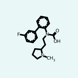 CN1CCCC1CCN(C(=O)O)c1ccccc1-c1cccc(F)c1